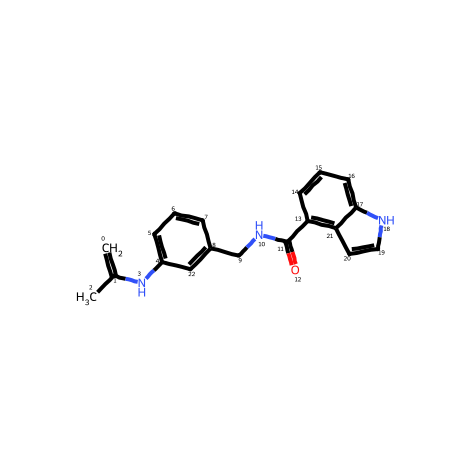 C=C(C)Nc1cccc(CNC(=O)c2cccc3[nH]ccc23)c1